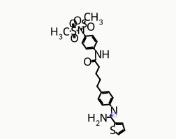 CS(=O)(=O)N(c1ccc(NC(=O)CCCCc2ccc(/N=C(\N)c3cccs3)cc2)cc1)S(C)(=O)=O